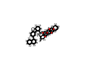 C\C1=C(c2ccc(-c3ccccc3)cc2)/N=C(c2cccc3oc4ccc(-c5cccc6ccccc56)cc4c23)\N=C(\c2ccc(C3C=CC=CC3)cc2)CC1